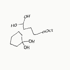 CCCCCCCCCCCC(O)O.OC1(O)CCCCC1